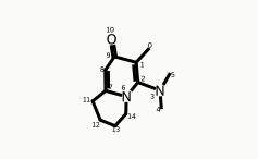 Cc1c(N(C)C)n2c(cc1=O)CCCC2